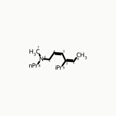 C/C=C(\C=C/CN(C)CCC)C(C)C